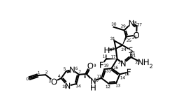 C#CCOc1cnc(C(=O)Nc2ccc(F)c([C@@]3(CF)N=C(N)S[C@@]4(c5ocnc5C)C[C@@H]34)c2)cn1